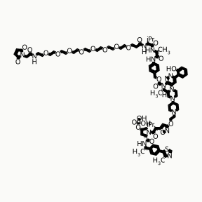 Cc1ncsc1-c1ccc([C@H](C)NC(=O)[C@@H]2C[C@@H](OP(=O)(O)O)CN2C(=O)[C@@H](c2cc(OCCN3CCC(N4CCN5c6cc(-c7ccccc7O)nnc6N(C(=O)OCc6ccc(NC(=O)[C@H](C)NC(=O)[C@@H](NC(=O)CCOCCOCCOCCOCCOCCOCCOCCOCCNC(=O)CN7C(=O)C=CC7=O)C(C)C)cc6)[C@@H](C)[C@@H]5C4)CC3)no2)C(C)C)cc1